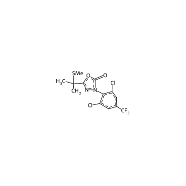 CSC(C)(C)c1nn(-c2c(Cl)cc(C(F)(F)F)cc2Cl)c(=O)o1